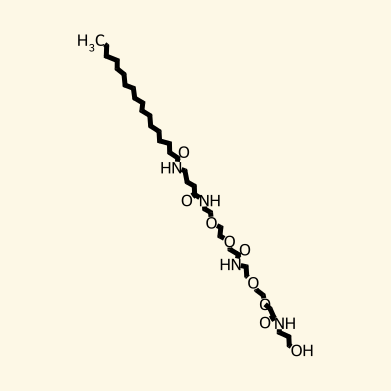 CCCCCCCCCCCCCCCCCC(=O)NCCCC(=O)NCCOCCOCC(=O)NCCOCCOCC(=O)NCCCO